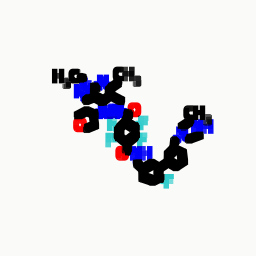 CCc1nc2c(cnn2CC)c(NC2CCOCC2)c1CNC(=O)c1c(F)c(F)c(C(=O)NCc2ccc(F)c(-c3cccc(CN4CCN[C@@H](C)C4)c3)c2)c(F)c1F